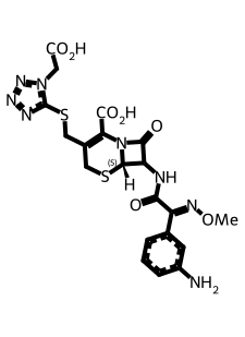 CON=C(C(=O)NC1C(=O)N2C(C(=O)O)=C(CSc3nnnn3CC(=O)O)CS[C@@H]12)c1cccc(N)c1